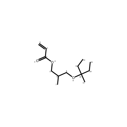 C=CC(=O)OCC(C)COC(C)(CC)CC